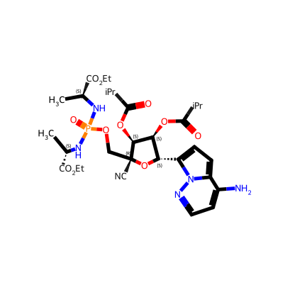 CCOC(=O)[C@H](C)NP(=O)(N[C@@H](C)C(=O)OCC)OC[C@@]1(C#N)O[C@@H](c2ccc3c(N)ccnn23)[C@H](OC(=O)C(C)C)[C@@H]1OC(=O)C(C)C